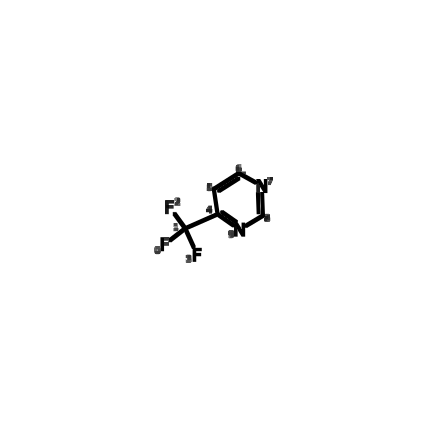 FC(F)(F)c1c[c]ncn1